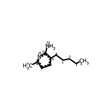 CCCCCc1ccc(C)nc1N